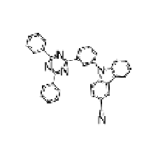 N#Cc1ccc2c(c1)c1ccccc1n2-c1cccc(-c2nc(-c3ccccc3)nc(-c3ccccc3)n2)c1